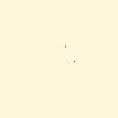 CNc1cc(F)ccc1O